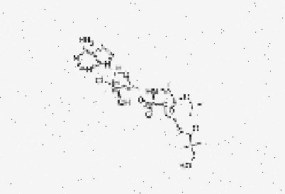 CC(C)OC(=O)[C@@H](C)N[P@](=O)(OCCSC(=O)C(C)(C)CO)OC[C@H]1O[C@@H](n2cnc3c(N)ncnc32)[C@](C)(Cl)[C@@H]1O